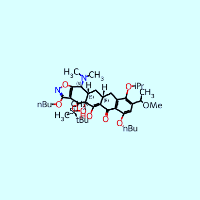 CCCCOc1cc(C(C)OC)c(OC(C)C)c2c1C(=O)C1=C(O)[C@]3(O[Si](C)(C)C(C)(C)C)C(=O)c4c(OCCCC)noc4[C@@H](N(C)C)[C@@H]3C[C@@H]1C2